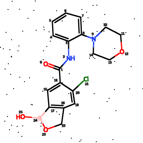 O=C(Nc1ccccc1N1CCOCC1)c1cc2c(cc1Cl)COB2O